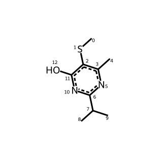 CSc1c(C)nc(C(C)C)nc1O